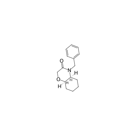 O=C1CO[C@@H]2CCCC[C@@H]2N1Cc1ccccc1